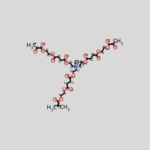 C=C(C)C(=O)OCCOC(=O)CCC(=O)OCC[N+](C)(CCOC(=O)CCC(=O)OCCOC(=O)C(C)=O)CCOC(=O)CCC(=O)OCCOC(=O)C(C)=O